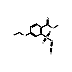 CCOc1ccc(C(=O)OC)c(S(=O)(=O)N=C=O)c1